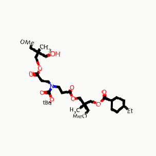 CCC1CCC(C(=O)OCC(C)(COC)COC(=O)CCN(CCC(=O)OCC(C)(CO)COC)C(=O)OC(C)(C)C)CC1